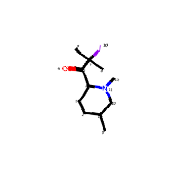 CC1CCC(C(=O)C(C)(C)I)N(C)C1